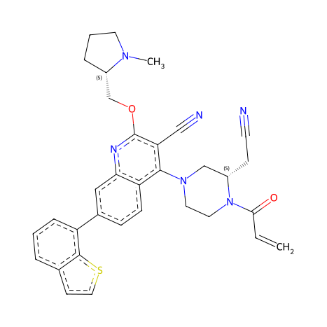 C=CC(=O)N1CCN(c2c(C#N)c(OC[C@@H]3CCCN3C)nc3cc(-c4cccc5ccsc45)ccc23)C[C@@H]1CC#N